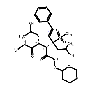 CC(C)C[C@@H](C(=O)NN)[C@@H](C(=O)NOC1CCCCO1)C(/C=C/c1ccccc1)(CC(C)C)S(C)(=O)=O